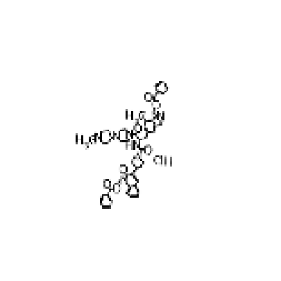 Cc1cc(CC(NC(=O)N2CCC(c3cc4ccccc4n(COC(=O)c4ccccc4)c3=O)CC2)C(=O)N2CCN(C3CCN(C)CC3)CC2)cc2cnn(COC(=O)c3ccccc3)c12.Cl